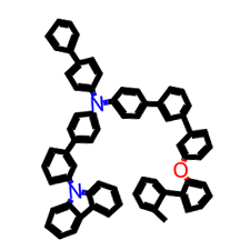 Cc1ccccc1-c1ccccc1Oc1cccc(-c2cccc(-c3ccc(N(c4ccc(-c5ccccc5)cc4)c4ccc(-c5cccc(-n6c7ccccc7c7ccccc76)c5)cc4)cc3)c2)c1